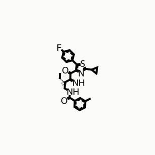 CC[C@@H](CNC(=O)c1cccc(C)c1)C(=N)C(=O)c1nc(C2CC2)sc1-c1ccc(F)cc1